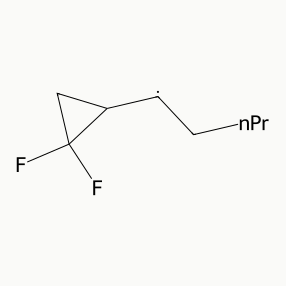 CCCC[CH]C1CC1(F)F